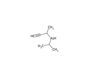 C#CC(C)[AsH]C(C)C